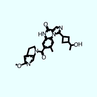 COc1cc2c(cn1)N(C(=O)c1cc3[nH]c(=O)c4cnc(C5CC(C(C)O)C5)n4c3cc1C)CC2